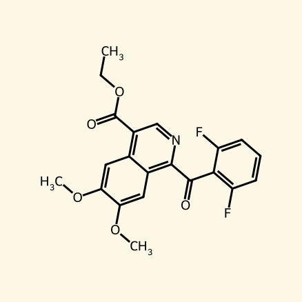 CCOC(=O)c1cnc(C(=O)c2c(F)cccc2F)c2cc(OC)c(OC)cc12